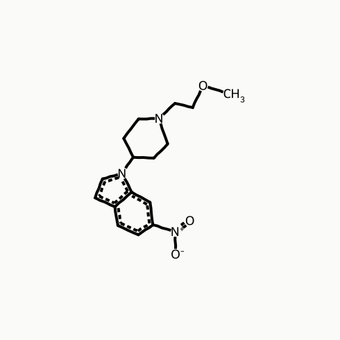 COCCN1CCC(n2ccc3ccc([N+](=O)[O-])cc32)CC1